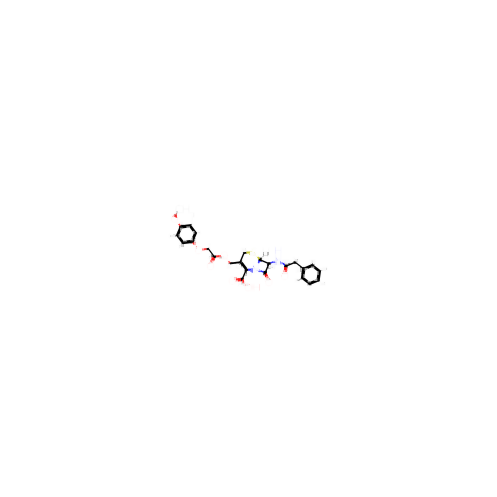 COc1ccc(OCC(=O)OCC2=C(C(=O)O)N3C(=O)C(NC(=O)Cc4ccccc4)[C@H]3SC2)cc1